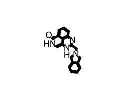 O=c1[nH]cc2c3c(cccc13)N=C(CN1Cc3ccccc3C1)N2